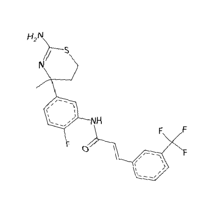 CC1(c2ccc(F)c(NC(=O)/C=C/c3cccc(C(F)(F)F)c3)c2)CCSC(N)=N1